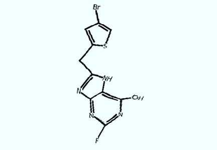 Oc1nc(F)nc2nc(Cc3cc(Br)cs3)[nH]c12